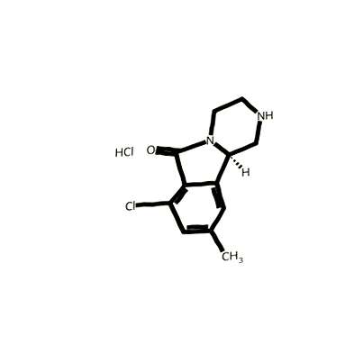 Cc1cc(Cl)c2c(c1)[C@@H]1CNCCN1C2=O.Cl